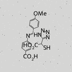 COc1ccc(C=Nc2ccc(C(=O)O)cc2)cc1.O=C(O)C(S)c1nnn[nH]1